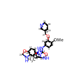 COc1ccc(NC23N=CC(C)=C(NO2)N3c2ccc3c(c2)NCO3)cc1OCc1cccnc1